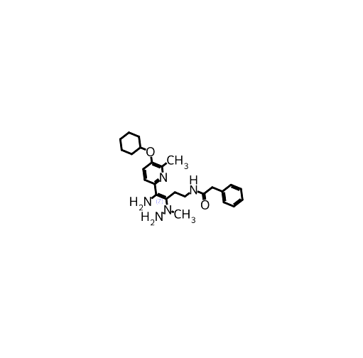 Cc1nc(/C(N)=C(\CCNC(=O)Cc2ccccc2)N(C)N)ccc1OC1CCCCC1